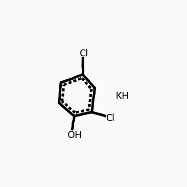 Oc1ccc(Cl)cc1Cl.[KH]